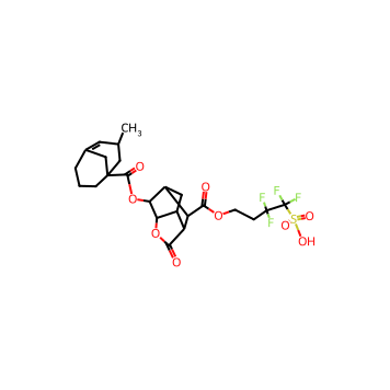 CC1C=C2CCCC(C(=O)OC3C4CC5C3OC(=O)C5C4C(=O)OCCC(F)(F)C(F)(F)S(=O)(=O)O)(C2)C1